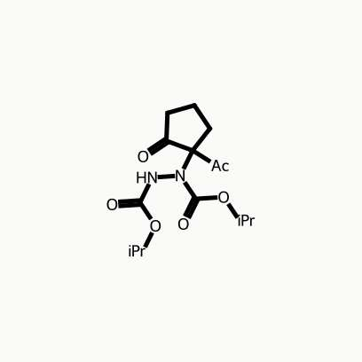 CC(=O)C1(N(NC(=O)OC(C)C)C(=O)OC(C)C)CCCC1=O